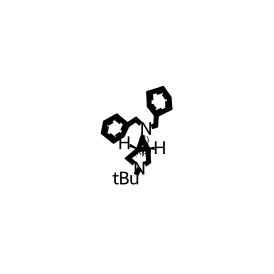 CC(C)(C)N1C[C@@H]2[C@H](C1)[C@H]2N(Cc1ccccc1)Cc1ccccc1